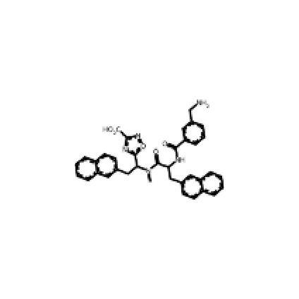 CN(C(=O)C(Cc1ccc2ccccc2c1)NC(=O)c1cccc(CN)c1)C(Cc1ccc2ccccc2c1)c1nc(C(=O)O)no1